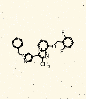 Cc1nc2c(OCc3c(F)cccc3F)cccn2c1-c1cnn(Cc2ccccc2)c1